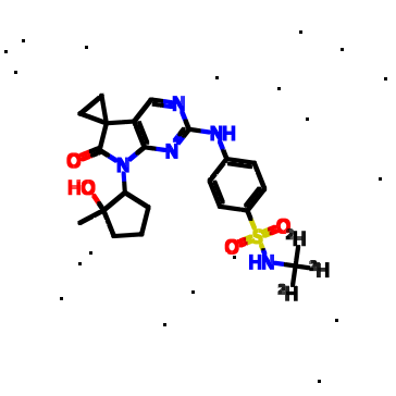 [2H]C([2H])([2H])NS(=O)(=O)c1ccc(Nc2ncc3c(n2)N(C2CCCC2(C)O)C(=O)C32CC2)cc1